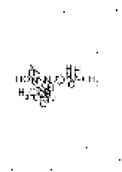 CCNC(=O)Nc1ccc(-c2nc3c(c(N4CCOCC4)n2)[C@H](C(C)(C)C)CN(C(=O)O)C3CC#N)cc1